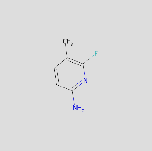 Nc1ccc(C(F)(F)F)c(F)n1